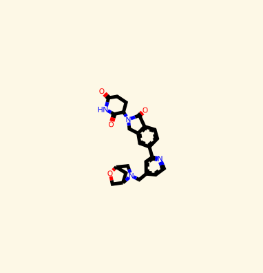 O=C1CCC(N2Cc3cc(-c4cc(CN5CC6CC5CO6)ccn4)ccc3C2=O)C(=O)N1